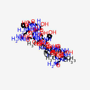 CC[C@H](C)[C@H](NC(=O)[C@@H](NC(=O)[C@H](CC(C)C)NC(=O)[C@@H](NC(=O)[C@H](Cc1ccc(O)cc1)NC(=O)[C@H](CC(=O)O)NC(=O)[C@@H](NC(=O)[C@H](CCC(=O)O)NC(=O)[C@H](CO)NC(=O)CNC(=O)[C@H](CO)NC(=O)CNC(=O)[C@H](CO)NC(=O)[C@H](Cc1ccccc1)NC(=O)[C@@H](N)CCCNC(=N)N)[C@@H](C)O)[C@@H](C)O)[C@@H](C)O)C(=O)N[C@@H](CO)C(=O)N[C@@H](CO)C(=O)N[C@H](C(=O)N[C@@H](CCC(N)=O)C(=O)N[C@@H](C)C(=O)O)C(C)C